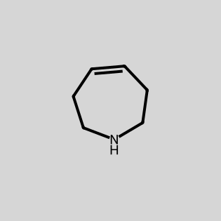 C1=CCCNCC1